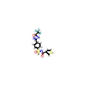 CS(=O)(=NC(=O)c1ccsc1)c1ccc(-c2noc(C(F)(F)F)n2)cc1